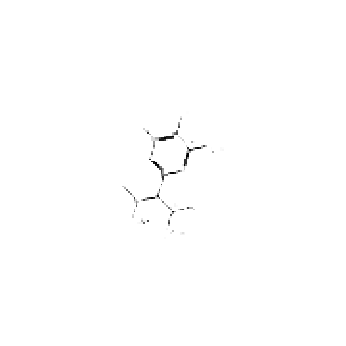 COC(C)C(c1cc(C(F)(F)F)c(C#N)c(C(F)(F)F)c1)C(C)OC